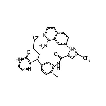 Nc1nccc2ccc(-n3nc(C(F)(F)F)cc3C(=O)Nc3cc(C(CCC4CC4)c4ncc[nH]c4=O)ccc3F)cc12